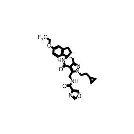 O=C(NCc1c2c(nn1CCC1CC1)C[C@]1(CCc3cc(OCC(F)(F)F)ccc31)NC2=O)c1cocn1